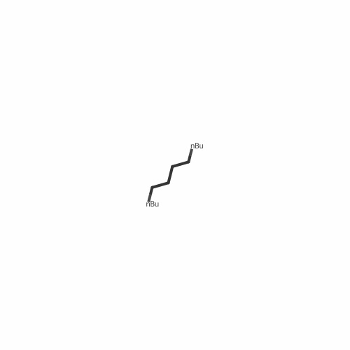 [C]CCCCCCCCCC[CH2]